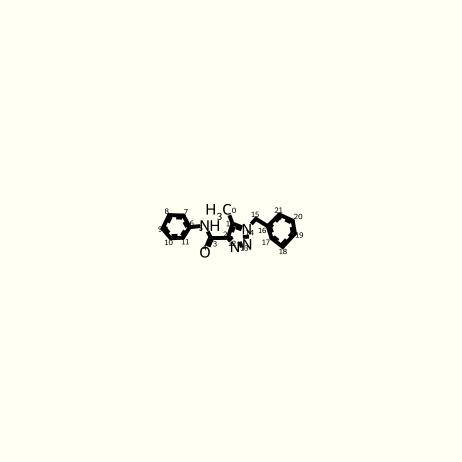 Cc1c(C(=O)Nc2ccccc2)nnn1Cc1ccccc1